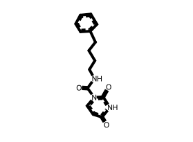 O=C(NCCCCc1ccccc1)n1ccc(=O)[nH]c1=O